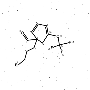 O=CC1(CCCBr)C=CC=C(OC(F)(F)F)C1